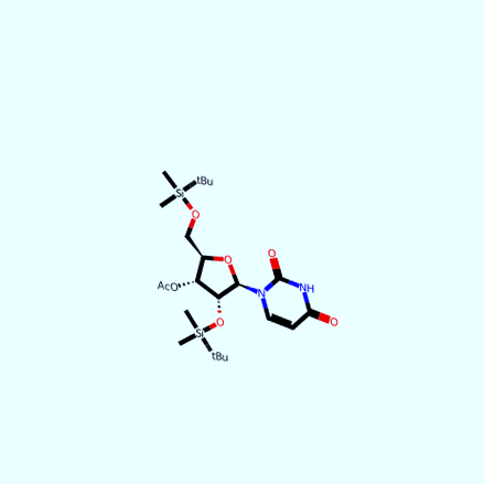 CC(=O)O[C@H]1[C@@H](O[Si](C)(C)C(C)(C)C)[C@H](n2ccc(=O)[nH]c2=O)O[C@@H]1CO[Si](C)(C)C(C)(C)C